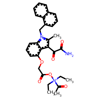 CC[N+](CC)(OC(=O)COc1cccc2c1c(C(=O)C(N)=O)c(C)n2Cc1cccc2ccccc12)C(C)=O